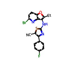 CCc1oc2ccc(Br)nc2c1Nc1nc(-c2ccc(F)cc2)c(C#N)s1